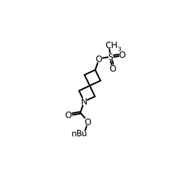 CCCCOC(=O)N1CC2(CC(OS(C)(=O)=O)C2)C1